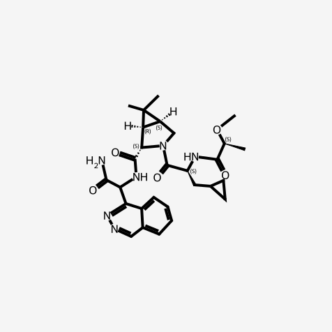 CO[C@@H](C)C(=O)N[C@@H](CC1CC1)C(=O)N1C[C@H]2[C@@H]([C@H]1C(=O)NC(C(N)=O)c1nncc3ccccc13)C2(C)C